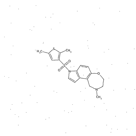 Cc1cc(S(=O)(=O)n2ccc3c4c(ccc32)OCCN(C)C4)c(C)s1